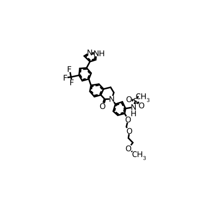 COCCOCOc1ccc(N2CCc3cc(-c4cc(-c5cn[nH]c5)cc(C(F)(F)F)c4)ccc3C2=O)cc1NS(C)(=O)=O